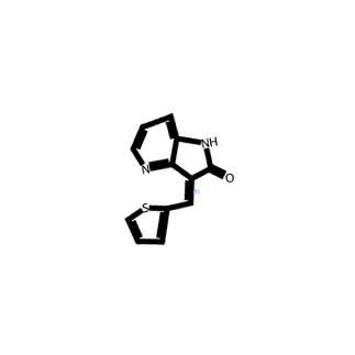 O=C1Nc2cccnc2/C1=C\c1cccs1